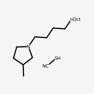 CCCCCCCCCCCCN1CCC(C)C1.N#CS